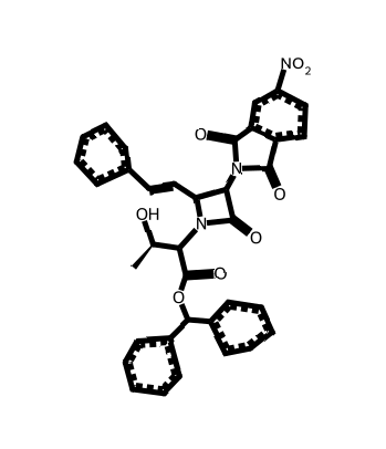 C[C@@H](O)C(C(=O)OC(c1ccccc1)c1ccccc1)N1C(=O)C(N2C(=O)c3ccc([N+](=O)[O-])cc3C2=O)C1C=Cc1ccccc1